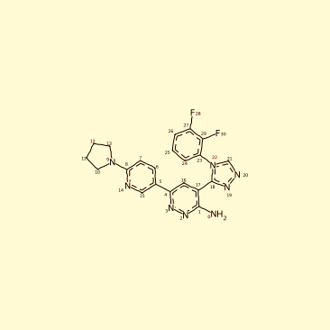 Nc1nnc(-c2ccc(N3CCCC3)nc2)cc1-c1nncn1-c1cccc(F)c1F